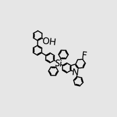 OC1=C(c2cccc(-c3ccc([Si](c4ccccc4)(c4ccccc4)c4ccc5c(c4)c4c(n5-c5ccccc5)C=CC(F)C4)cc3)c2)C=CCC1